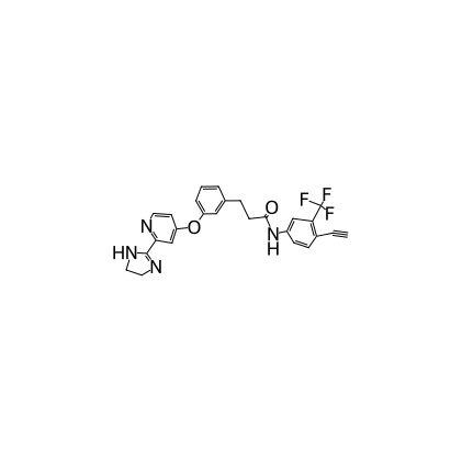 C#Cc1ccc(NC(=O)CCc2cccc(Oc3ccnc(C4=NCCN4)c3)c2)cc1C(F)(F)F